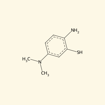 CN(C)c1ccc(N)c(S)c1